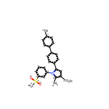 CCOC(=O)c1cc(-c2ccc(-c3ccc(C#N)cc3)cc2)n(-c2cccc(S(C)(=O)=O)c2)c1C